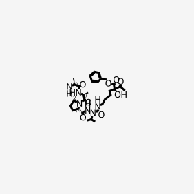 CC(=O)C(O)(CCCCNC(=O)N(NC(=O)[C@@H]1CCCN1C(=O)[C@H](C)NC(=O)[C@H](C)N)C(C)C)C(=O)OCc1ccccc1